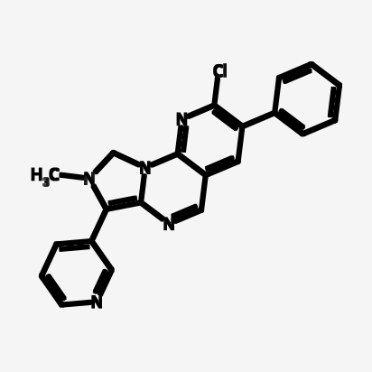 CN1CN2C(=C1c1cccnc1)N=Cc1cc(-c3ccccc3)c(Cl)nc12